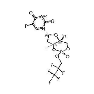 O=c1[nH]c(=O)n([C@H]2C[C@@H]3OP(=O)(OCC(F)(F)C(F)(F)F)OC[C@H]3O2)cc1F